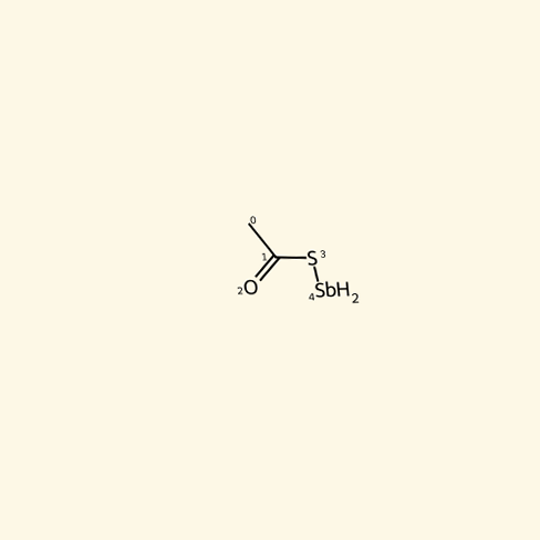 CC(=O)[S][SbH2]